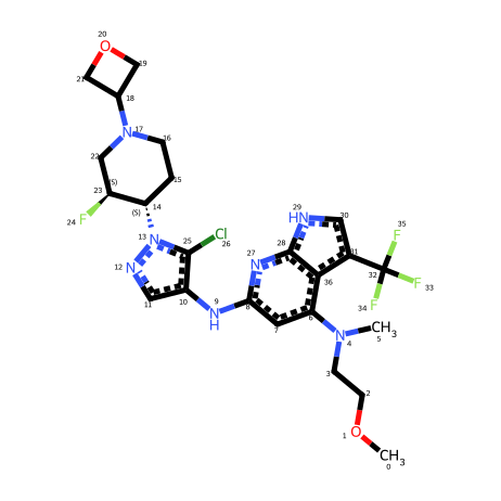 COCCN(C)c1cc(Nc2cnn([C@H]3CCN(C4COC4)C[C@@H]3F)c2Cl)nc2[nH]cc(C(F)(F)F)c12